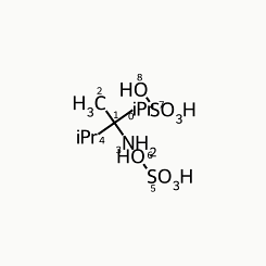 CC(C)C(C)(N)C(C)C.O=S(=O)(O)O.O=S(=O)(O)O